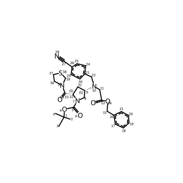 CC(C)(C)OC(=O)N1C[C@@H](N(CC(=O)OCc2ccccc2)Cc2ccc(C#N)cc2)C[C@H]1C(=O)N1CCSC1